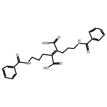 O=C(O)C(CCCNC(=O)c1ccccc1)=C(CCCNC(=O)c1ccccc1)C(=O)O